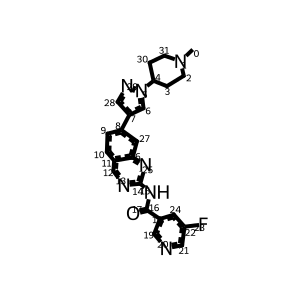 CN1CCC(n2cc(-c3ccc4cnc(NC(=O)c5cncc(F)c5)nc4c3)cn2)CC1